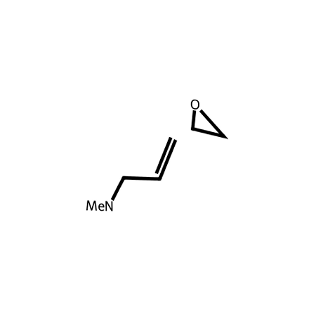 C1CO1.C=CCNC